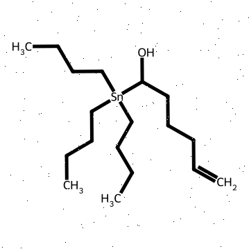 C=CCCC[CH](O)[Sn]([CH2]CCC)([CH2]CCC)[CH2]CCC